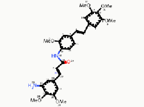 COc1cc(C=Cc2cc(OC)c(OC)c(OC)c2)ccc1NC(=O)/C=C/c1cc(N)c(OC)c(OC)c1